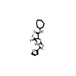 O=C(NC1CCCCCC1)C(Sc1nnc(-c2ccco2)[nH]1)C(F)(F)F